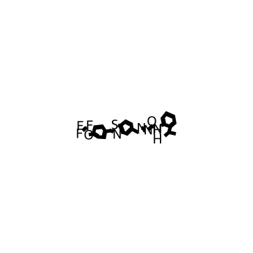 CC(C)c1ccccc1NC(=O)N/N=C/c1ccc2sc(-c3ccc(OC(F)(F)F)cc3)nc2c1